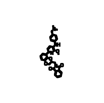 COc1nc(-c2cccc3c2OC(CN2C(=O)c4ccccc4C2=O)CO3)ccc1Nc1ccc(CN(C)C)cc1